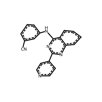 N#Cc1cccc(Nc2nc(-c3ccncc3)nc3ccccc23)c1